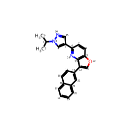 CC(C)n1cc(-c2ccc3occ(-c4ccc5ccccc5c4)c3n2)cn1